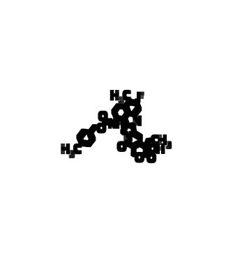 CCC1(O)C(=O)OCc2c1cc1n(c2=O)Cc2c-1nc1cc(F)c(C)c3c1c2C(NC(=O)OCc1ccc(C)cc1)CC3